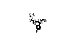 CCOC(=O)c1csc(-c2oc(CBr)nc2-c2ccc(F)cc2)n1